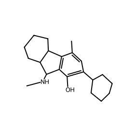 CNC1c2c(O)c(C3CCCCC3)cc(C)c2C2CCCCC21